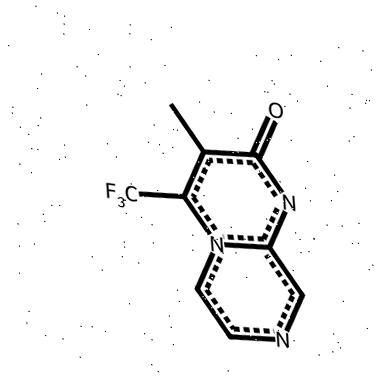 Cc1c(C(F)(F)F)n2ccncc2nc1=O